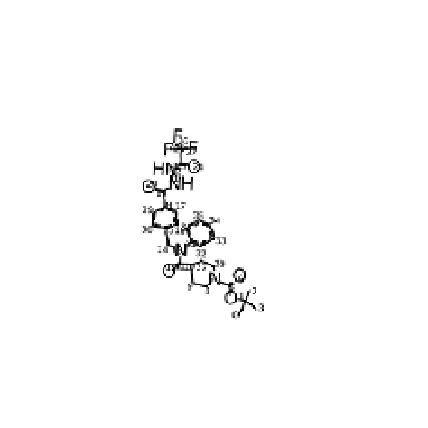 CC(C)(C)OC(=O)N1CCC(C(=O)N(Cc2ccc(C(=O)NNC(=O)C(F)(F)F)cc2)c2ccccc2)CC1